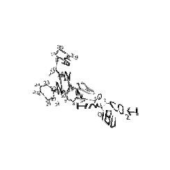 CC[C@H](C)[C@@H](CC(=O)O)NC(=O)c1ccc2c(c1)nc(Cc1cccs1)n2C1CCCC[C@H]1C